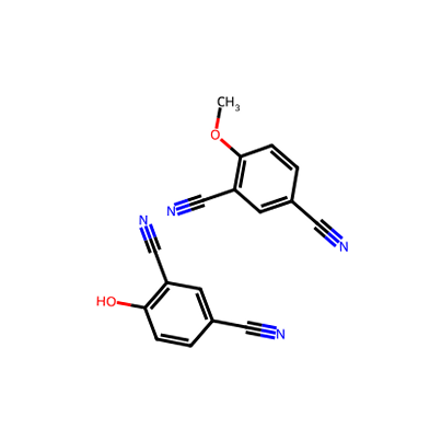 COc1ccc(C#N)cc1C#N.N#Cc1ccc(O)c(C#N)c1